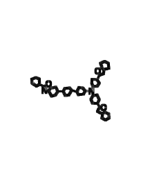 c1ccc(-c2nc3ccc(-c4ccc(-c5ccc(N(c6ccc(-c7cc8ccccc8o7)cc6)c6ccc(-c7cc8ccccc8o7)cc6)cc5)cc4)cc3o2)cc1